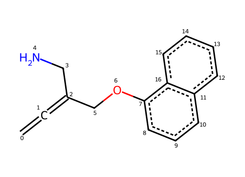 C=C=C(CN)COc1cccc2ccccc12